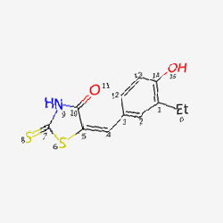 CCc1cc(C=C2SC(=S)NC2=O)ccc1O